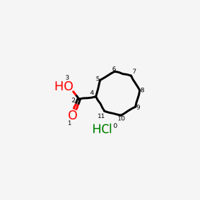 Cl.O=C(O)C1CCCCCCC1